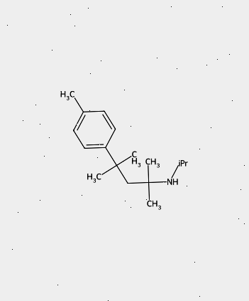 Cc1ccc(C(C)(C)CC(C)(C)NC(C)C)cc1